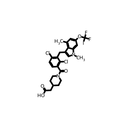 Cc1cc(OC(F)(F)I)cc2c1c(Cc1c(Cl)ccc(C(=O)N3CCC(CC(=O)O)CC3)c1Cl)cn2C